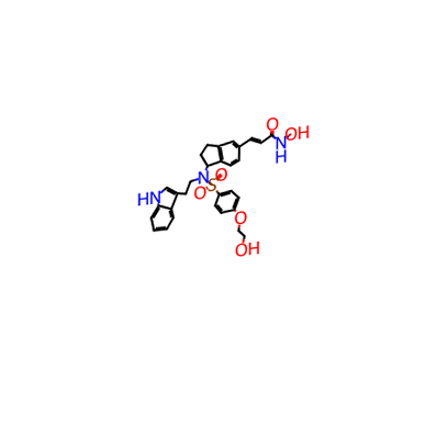 O=C(/C=C/c1ccc2c(c1)CCC2N(CCc1c[nH]c2ccccc12)S(=O)(=O)c1ccc(OCCO)cc1)NO